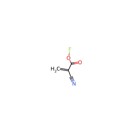 C=C(C#N)C(=O)OF